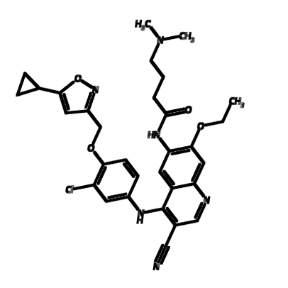 CCOc1cc2ncc(C#N)c(Nc3ccc(OCc4cc(C5CC5)on4)c(Cl)c3)c2cc1NC(=O)CCCN(C)C